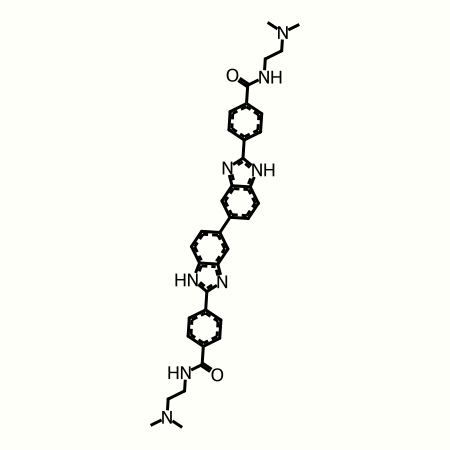 CN(C)CCNC(=O)c1ccc(-c2nc3cc(-c4ccc5[nH]c(-c6ccc(C(=O)NCCN(C)C)cc6)nc5c4)ccc3[nH]2)cc1